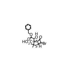 CC1(C)S[C@@H]2[C@H](Br)C(=O)N2[C@]1(C(=O)O)C(O)C(=O)OCc1ccccc1